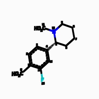 O=C(O)c1ccc([C@H]2CCCCN2C(=O)O)cc1F